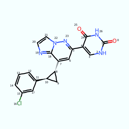 O=c1[nH]cc(-c2cc([C@@H]3C[C@H]3c3cccc(Cl)c3)c3nccn3n2)c(=O)[nH]1